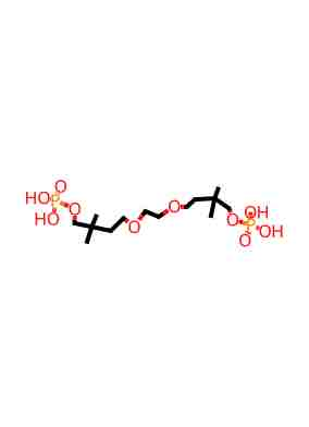 CC(C)(CCOCCOCCC(C)(C)COP(=O)(O)O)COP(=O)(O)O